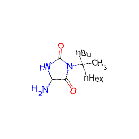 CCCCCCC(C)(CCCC)N1C(=O)NC(N)C1=O